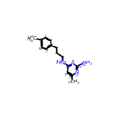 Cc1c[c]c(CCCNc2cc(C)nc(N)n2)cc1